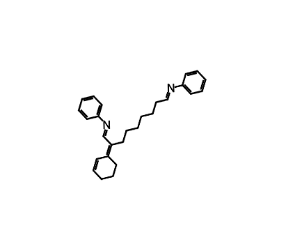 C1=CC(=C(C=Nc2ccccc2)CCCCCCC=Nc2ccccc2)CCC1